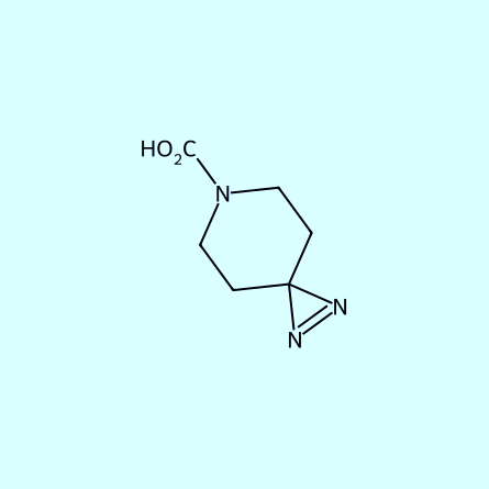 O=C(O)N1CCC2(CC1)N=N2